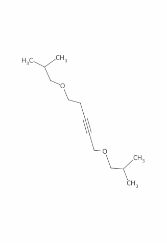 CC(C)COCC#CCCOCC(C)C